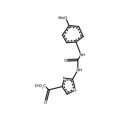 CCOC(=O)C(=O)c1csc(NC(=O)Nc2ccc(OC)cc2)n1